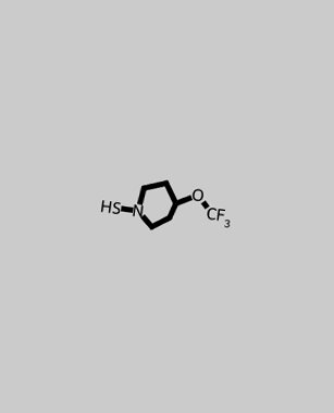 FC(F)(F)OC1CCN(S)CC1